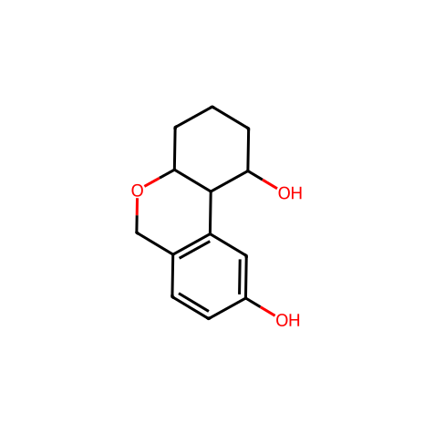 Oc1ccc2c(c1)C1C(O)CCCC1OC2